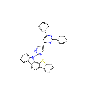 c1ccc(-c2cc(-c3cnc(-n4c5ccccc5c5ccc6c7ccccc7sc6c54)nc3)nc(-c3ccccc3)n2)cc1